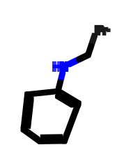 C[C](C)CNc1ccccc1